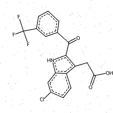 O=C(O)Cc1c(C(=O)c2cccc(C(F)(F)F)c2)[nH]c2cc(Cl)ccc12